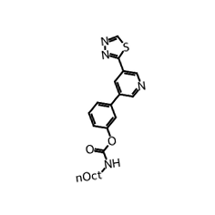 CCCCCCCCNC(=O)Oc1cccc(-c2cncc(-c3nncs3)c2)c1